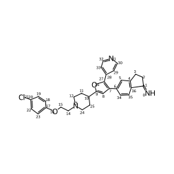 N=C1CCc2cc(-c3cc(C4CCN(CCOc5ccc(Cl)cc5)CC4)oc3-c3ccncc3)ccc21